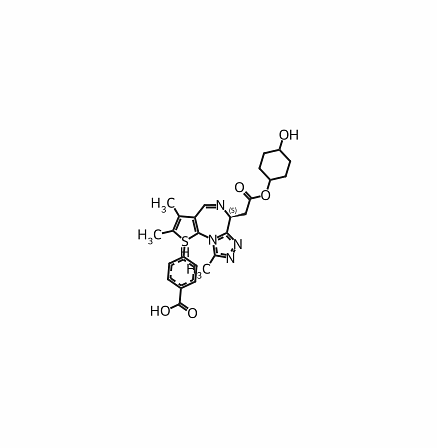 CC1=C(C)[SH](c2ccc(C(=O)O)cc2)C2=C1C=N[C@@H](CC(=O)OC1CCC(O)CC1)c1nnc(C)n12